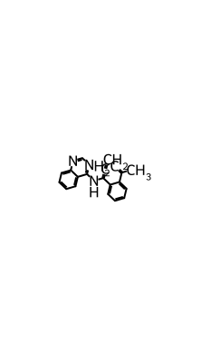 C=C=C(Nc1ncnc2ccccc12)c1ccccc1C(=C)C